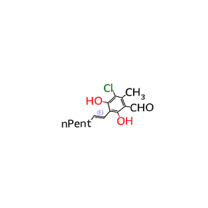 [CH2]CCCC/C=C/c1c(O)c(Cl)c(C)c(C=O)c1O